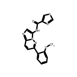 O=C(Nc1cnc2ccc(-c3ccccc3OC(F)(F)F)nn12)c1cscn1